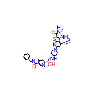 CCCc1cc(N2CCC(NCC(O)c3ccc(C(=O)NCc4ccccc4)cn3)CC2)nc2sc(C(N)=O)c(N)c12